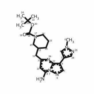 Cn1cc(-c2cnn3c(N)cc(CC4CCCN(C(=O)OC(C)(C)C)C4)nc23)cn1